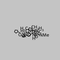 CN/C=C(\C(C)=N)S(=O)(=O)NC(=O)c1ccc(-n2ccc(OCC3CCCC3)n2)nc1N1C[C@@H](C)CC1(C)C